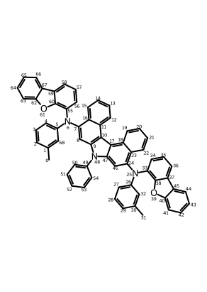 Cc1cccc(N(c2cc3c(c4ccccc24)c2c4ccccc4c(N(c4cccc(C)c4)c4cccc5c4oc4ccccc45)cc2n3-c2ccccc2)c2cccc3c2oc2ccccc23)c1